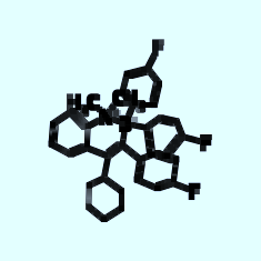 C[N+]1(C)c2ccccc2C(C2CCCCC2)=C(c2ccc(F)cc2)[B-]1(c1ccc(F)cc1)c1ccc(F)cc1